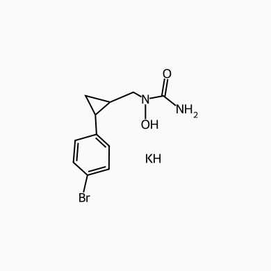 NC(=O)N(O)CC1CC1c1ccc(Br)cc1.[KH]